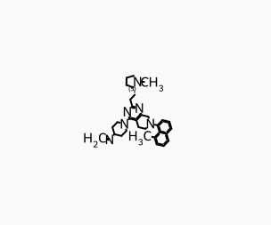 C=NC1CCN(c2nc(CC[C@@H]3CCCN3C)nc3c2CCN(c2cccc4cccc(C)c24)C3)CC1